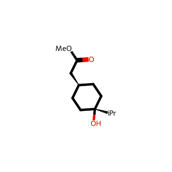 COC(=O)C[C@H]1CC[C@@](O)(C(C)C)CC1